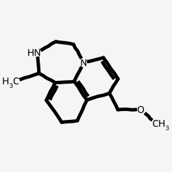 COCC1C=CN2CCNC(C)C3=CCCC1=C32